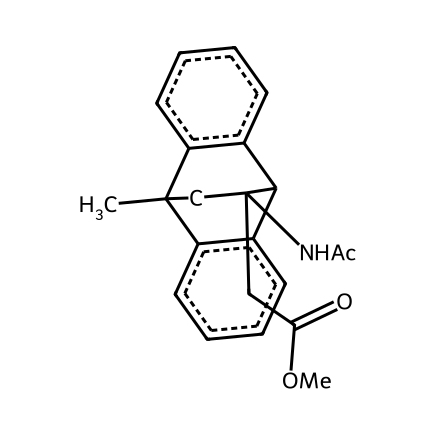 COC(=O)CC1(NC(C)=O)CC2(C)c3ccccc3C1c1ccccc12